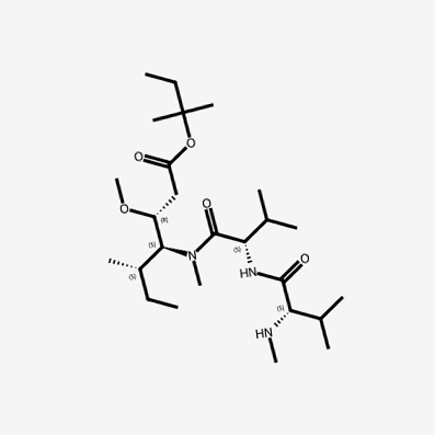 CC[C@H](C)[C@@H]([C@@H](CC(=O)OC(C)(C)CC)OC)N(C)C(=O)[C@@H](NC(=O)[C@@H](NC)C(C)C)C(C)C